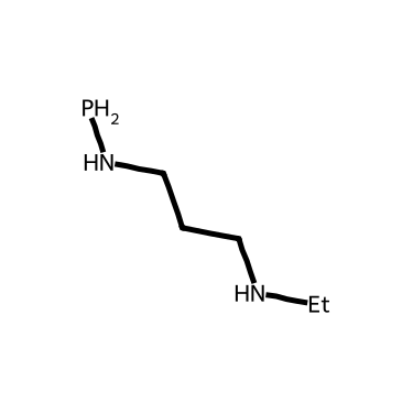 CCNCCCNP